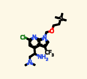 CN(C)CC(N)c1cc(Cl)nc2c1c(C(F)(F)F)cn2COCC[Si](C)(C)C